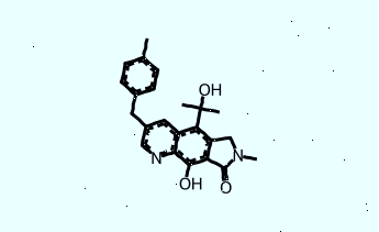 Cc1ccc(Cc2cnc3c(O)c4c(c(C(C)(C)O)c3c2)CN(C)C4=O)cc1